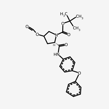 CC(C)(C)OC(=O)N1CC(OC=O)C[C@H]1C(=O)Nc1ccc(Oc2ccccc2)cc1